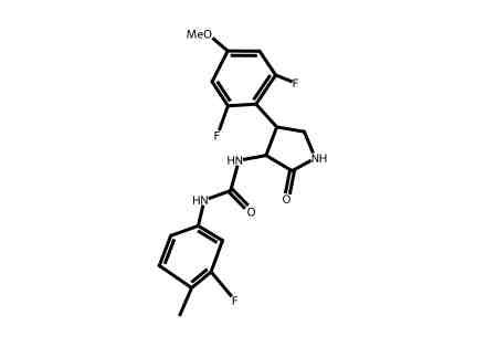 COc1cc(F)c(C2CNC(=O)C2NC(=O)Nc2ccc(C)c(F)c2)c(F)c1